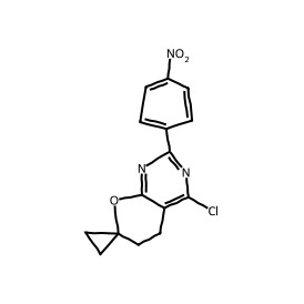 O=[N+]([O-])c1ccc(-c2nc(Cl)c3c(n2)OC2(CC3)CC2)cc1